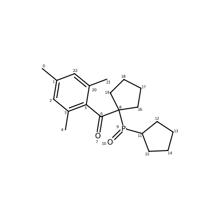 Cc1cc(C)c(C(=O)C2([P](=O)C3CCCC3)CCCC2)c(C)c1